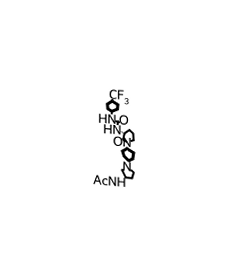 CC(=O)N[C@H]1CCN(c2ccc(N3CCC[C@@H](NC(=O)Nc4ccc(C(F)(F)F)cc4)C3=O)cc2)C1